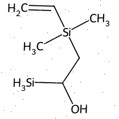 C=C[Si](C)(C)CC(O)[SiH3]